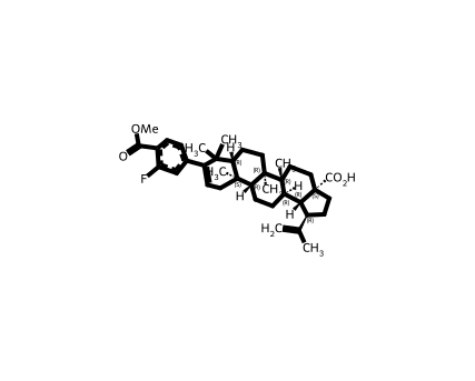 C=C(C)[C@@H]1CC[C@]2(C(=O)O)CC[C@]3(C)[C@H](CC[C@@H]4[C@@]5(C)CC=C(c6ccc(C(=O)OC)c(F)c6)C(C)(C)[C@@H]5CC[C@]43C)[C@@H]12